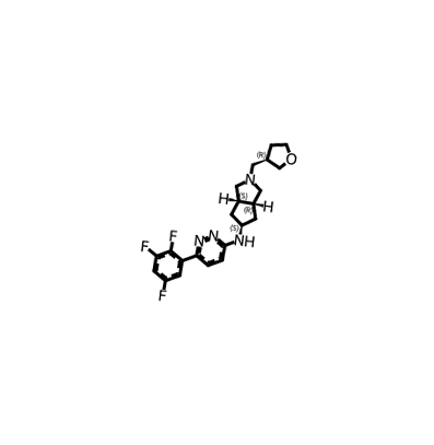 Fc1cc(F)c(F)c(-c2ccc(N[C@H]3C[C@@H]4CN(C[C@H]5CCOC5)C[C@@H]4C3)nn2)c1